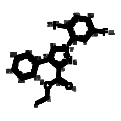 CCOC(=O)c1nn(-c2cc(F)ccc2F)cc1-c1ccccc1